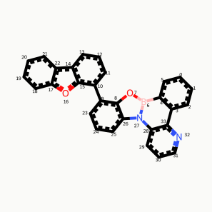 c1ccc2c(c1)B1Oc3c(-c4cccc5c4oc4ccccc45)cccc3N1c1cccnc1-2